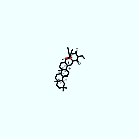 CCC1C(=O)OC23OC(C)(C)OC[C@@]2(C)C2CC[C@]4(C)[C@H](CC=C5[C@H]6CC(C)(C)CC[C@]6(C)CC[C@]54C)[C@@]2(C)CC3C1=O